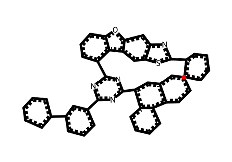 c1ccc(-c2cccc(-c3nc(-c4cc5ccccc5c5ccccc45)nc(-c4cccc5oc6cc7nc(-c8ccccc8)sc7cc6c45)n3)c2)cc1